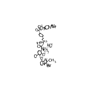 COCCN(C)C(=O)c1ccc(C=CC(=O)NCC(=O)N(C)c2ccc(Cl)c(COc3cccn4c(Br)c(C)nc34)c2Cl)cc1.Cl